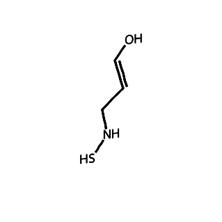 OC=CCNS